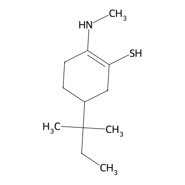 CCC(C)(C)C1CCC(NC)=C(S)C1